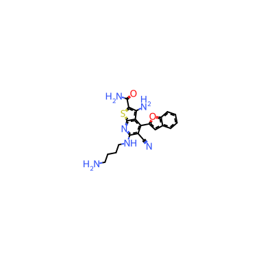 N#Cc1c(NCCCCN)nc2sc(C(N)=O)c(N)c2c1-c1cc2ccccc2o1